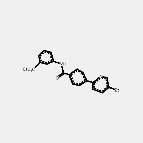 CCOC(=O)c1cccc(NC(=O)c2ccc(-c3ccc(CC)cn3)cc2)c1